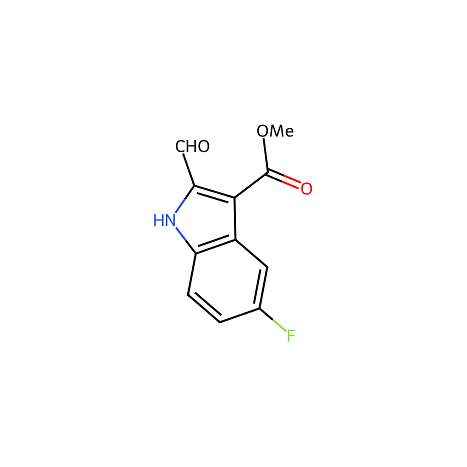 COC(=O)c1c(C=O)[nH]c2ccc(F)cc12